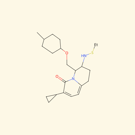 CCSNC1CCc2ccc(C3CC3)c(=O)n2C1COC1CCC(C)CC1